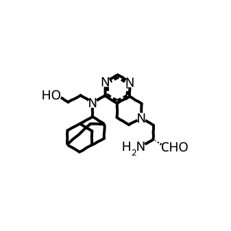 N[C@@H](C=O)CN1CCc2c(ncnc2N(CCO)C2C3CC4CC(C3)CC2C4)C1